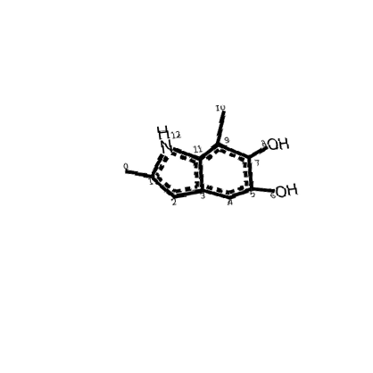 Cc1cc2cc(O)c(O)c(C)c2[nH]1